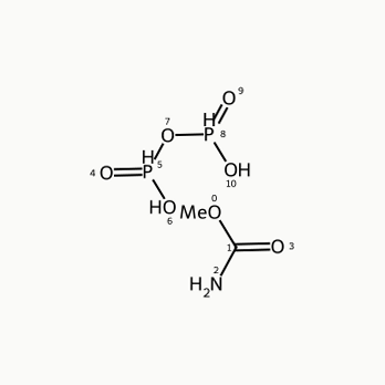 COC(N)=O.O=[PH](O)O[PH](=O)O